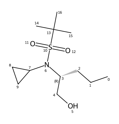 CCC[C@H](CO)N(C1CC1)S(=O)(=O)C(C)(C)C